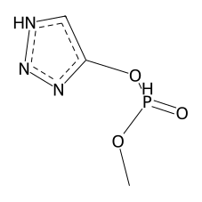 CO[PH](=O)Oc1c[nH]nn1